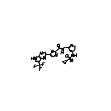 O=C(NCc1cc(NS(=O)(=O)C2CC2)ccn1)c1ncc(-c2cnc3[nH]cc(C(F)(F)F)c3n2)s1